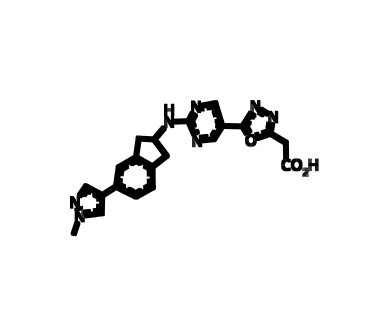 Cn1cc(-c2ccc3c(c2)CC(Nc2ncc(-c4nnc(CC(=O)O)o4)cn2)C3)cn1